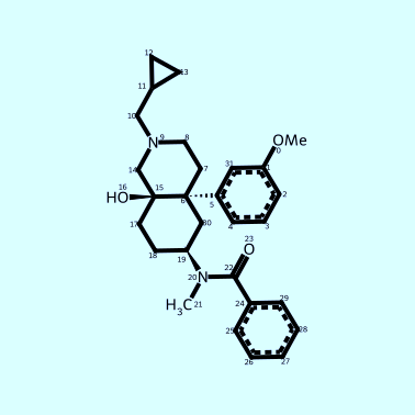 COc1cccc([C@@]23CCN(CC4CC4)C[C@@]2(O)CC[C@H](N(C)C(=O)c2ccccc2)C3)c1